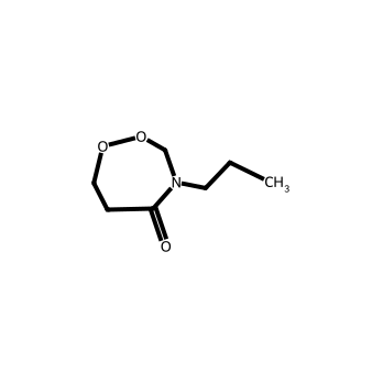 CCCN1COOCCC1=O